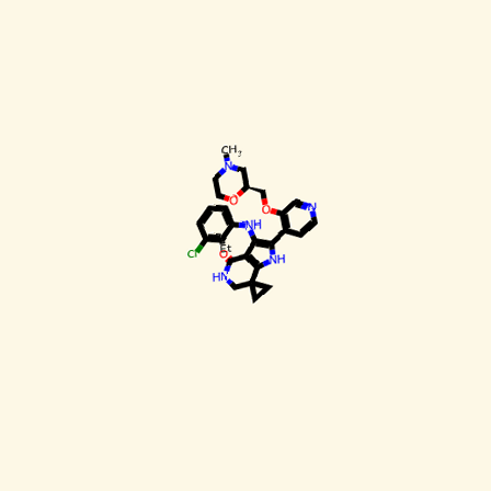 CCc1c(Cl)cccc1Nc1c(-c2ccncc2OC[C@@H]2CN(C)CCO2)[nH]c2c1C(=O)NCC21CC1